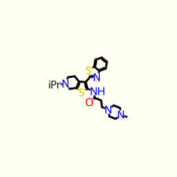 CC(C)N1CCc2c(sc(NC(=O)CCN3CCN(C)CC3)c2-c2nc3ccccc3s2)C1